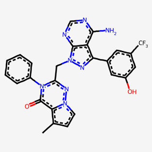 Cc1ccn2nc(Cn3nc(-c4cc(O)cc(C(F)(F)F)c4)c4c(N)ncnc43)n(-c3ccccc3)c(=O)c12